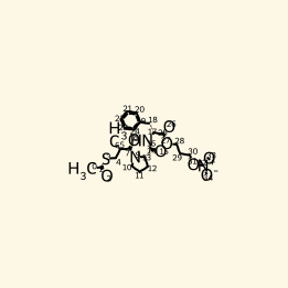 CC(=O)SC[C@@H](C)C(=O)N1CCC[C@H]1C(=O)N[C@H](Cc1ccccc1)C(=O)OCCCO[N+](=O)[O-]